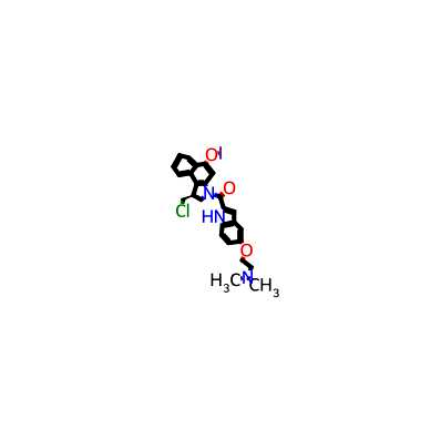 CN(C)CCOc1ccc2[nH]c(C(=O)N3C[C@@H](CCl)c4c3cc(OI)c3ccccc43)cc2c1